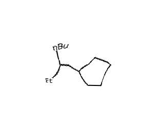 CCCCC(CC)C1CCCC1